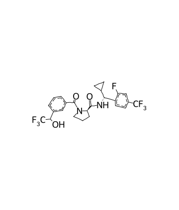 O=C(N[C@@H](c1ccc(C(F)(F)F)cc1F)C1CC1)[C@H]1CCCN1C(=O)c1cccc(C(O)C(F)(F)F)c1